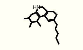 CCCCCC1=CC2=C(CC1)CNC1=C2C(C)C(C)C(C)C1